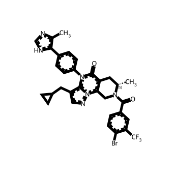 Cc1nc[nH]c1-c1ccc(-n2c(=O)c3c(n4ncc(CC5CC5)c24)CN(C(=O)c2ccc(Br)c(C(F)(F)F)c2)[C@@H](C)C3)cc1